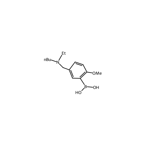 CCCCN(CC)Cc1ccc(OC)c(B(O)O)c1